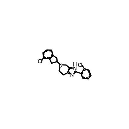 Clc1ccccc1-c1nc2c([nH]1)CN(C1Cc3cccc(Cl)c3C1)CC2